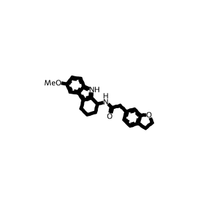 COc1ccc2[nH]c3c(c2c1)CCCC3NC(=O)Cc1ccc2c(c1)OCC2